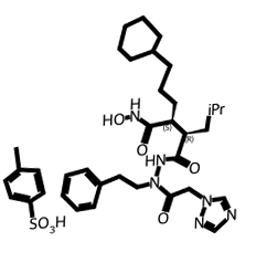 CC(C)C[C@@H](C(=O)NN(CCc1ccccc1)C(=O)Cn1cncn1)[C@H](CCCC1CCCCC1)C(=O)NO.Cc1ccc(S(=O)(=O)O)cc1